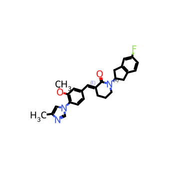 COc1cc(/C=C2\CCCN([C@@H]3Cc4ccc(F)cc4C3)C2=O)ccc1-n1cnc(C)c1